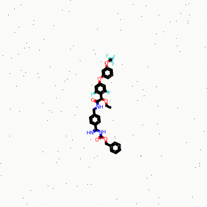 CCOC(C(=O)NCc1ccc(C(=N)NC(=O)OCc2ccccc2)cc1)c1c(F)cc(Oc2cccc(OC(F)(F)F)c2)cc1F